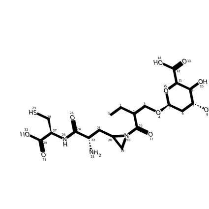 CCC(CO[C@@H]1C[C@@H](O)C(O)C(C(=O)O)O1)C(=O)N1CC1C[C@H](N)C(=O)N[C@H](CS)C(=O)O